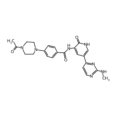 CNc1nccc(-c2c[nH]c(=O)c(NC(=O)c3ccc(N4CCN(C(C)=O)CC4)cc3)c2)n1